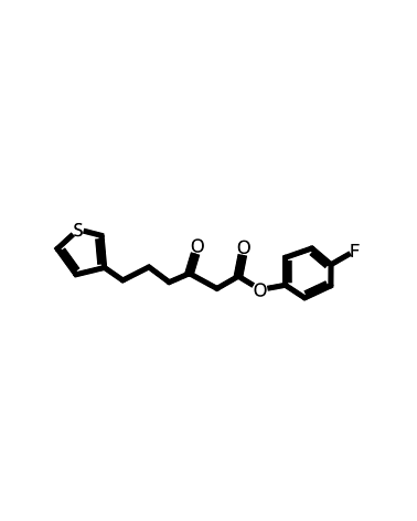 O=C(CCCc1ccsc1)CC(=O)Oc1ccc(F)cc1